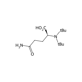 CC(C)(C)N([C@@H](CCC(N)=O)C(=O)O)C(C)(C)C